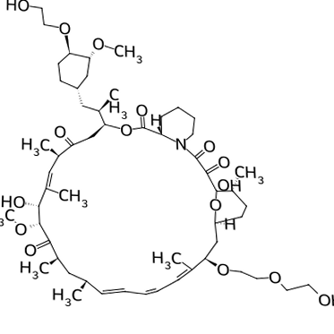 CO[C@@H]1C[C@H](C[C@@H](C)[C@@H]2CC(=O)[C@H](C)/C=C(\C)[C@@H](O)[C@@H](OC)C(=O)[C@H](C)C[C@H](C)/C=C/C=C/C=C(\C)[C@H](OCCOCCO)C[C@@H]3CC[C@@H](C)[C@@](O)(O3)C(=O)C(=O)N3CCCC[C@H]3C(=O)O2)CC[C@H]1OCCO